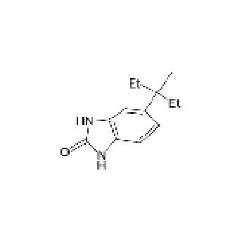 CCC(C)(CC)c1ccc2[nH]c(=O)[nH]c2c1